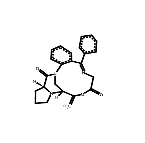 C=C1OC(=O)C/N=C(\c2ccccc2)c2ccccc2N2C[C@H]1N1CCC[C@@H]1C2=O